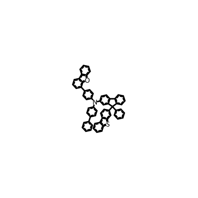 c1ccc(-c2ccc(N(c3ccc(-c4cccc5c4oc4ccccc45)cc3)c3ccc4c(c3)C(c3ccccc3)(c3ccc5c(c3)sc3ccccc35)c3ccccc3-4)cc2)cc1